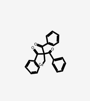 O=C(c1ccccc1)C([CH2][GeH3])(C(=O)c1ccccc1)C(=O)c1ccccc1